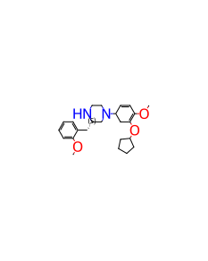 COC1=C(OC2CCCC2)CC(N2CCN[C@@H](Cc3ccccc3OC)C2)C=C1